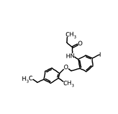 CCC(=O)Nc1cc(I)ccc1COc1ccc(CC)cc1C